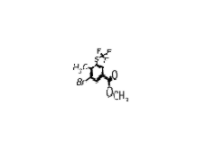 COC(=O)c1cc(Br)c(C)c(SC(F)(F)F)c1